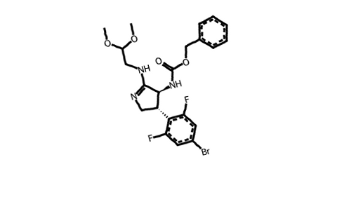 COC(CNC1=NC[C@@H](c2c(F)cc(Br)cc2F)[C@@H]1NC(=O)OCc1ccccc1)OC